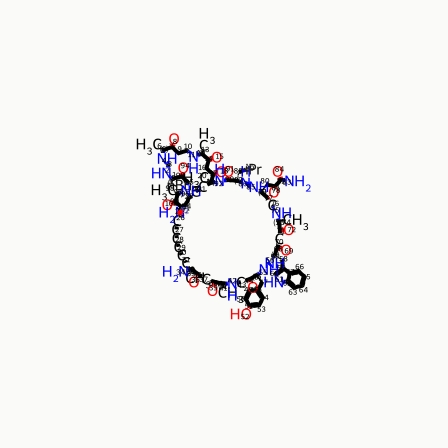 CCCC[C@H](NCN[C@@H](C)C(=O)CCN[C@@H](C)C(=O)CC(=O)[C@]1(C)CCC/C=C/CCCCCC[C@@](C)(N)C(=O)CC(=O)[C@H](C)NCC(=O)[C@H](Cc2ccc(O)cc2)NN[C@@H](Cc2c[nH]c3ccccc23)C(=O)CC(=O)[C@H](C)NCC(=O)[C@H](CCC(N)=O)NN[C@@H](CC(C)C)C(=O)N1)C(=O)CN[C@@H](C)C(=O)CN